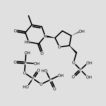 Cc1cn([C@H]2C[C@H](O)[C@@H](COP(=O)(O)O)O2)c(=O)[nH]c1=O.O=P(O)(O)OP(=O)(O)OP(=O)(O)O